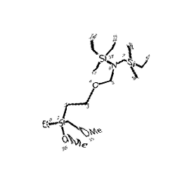 CC[Si](CCOCN([Si](C)(C)C)[Si](C)(C)C)(OC)OC